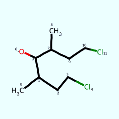 CC(CCCl)C([O])C(C)CCCl